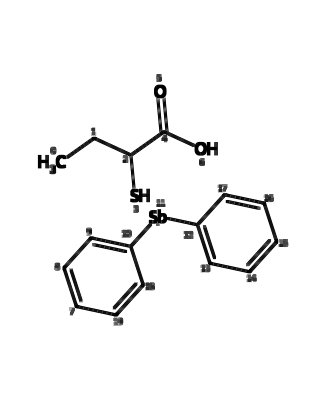 CCC(S)C(=O)O.c1cc[c]([Sb][c]2ccccc2)cc1